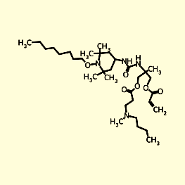 C=CC(=O)OCC(C)(COC(=O)CCN(C)CCCC)NC(=O)NC1CC(C)(C)N(OCCCCCCCC)C(C)(C)C1